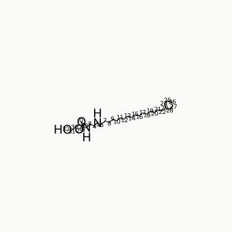 O=C(NCCNCCCCCCCCCCCCCCCCCc1ccccc1)OCCO